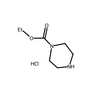 CCOC(=O)N1CCNCC1.Cl